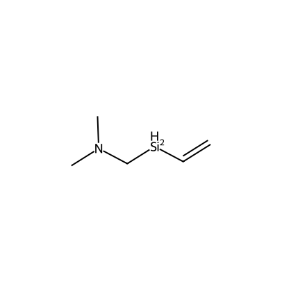 C=C[SiH2]CN(C)C